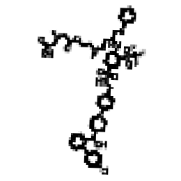 CN(CCOC(=O)CN(C)CC(=O)O)CCC(CSc1ccccc1)Nc1ccc(S(=O)(=O)NCc2ccc(N3CCC(C(O)c4ccccc4-c4ccc(Cl)cc4)CC3)cc2)cc1S(=O)(=O)C(F)(F)F